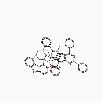 Cc1ccccc1-c1ccccc1C12CC3CC4(c5c(-c6ccc(-c7nc(-c8ccccc8)nc(-c8ccccc8)n7)cc6)ccc6oc7cccc3c7c56)C3c5ccccc5-c5ccccc5C3(C1)C24